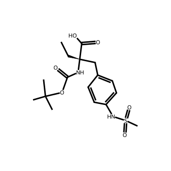 CC[C@@](Cc1ccc(NS(C)(=O)=O)cc1)(NC(=O)OC(C)(C)C)C(=O)O